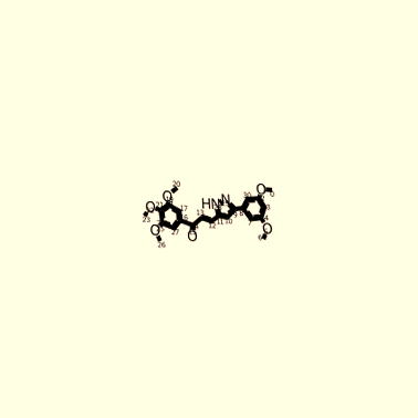 COc1cc(OC)cc(-c2cc(C=CC(=O)c3cc(OC)c(OC)c(OC)c3)[nH]n2)c1